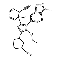 CCOc1c(-c2ccc3c(cnn3C)c2)c(C2(F)C=CC=CC2C#N)nn1C1CCCC(N)C1